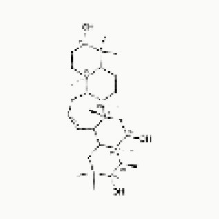 C[C@H]1[C@H](O)C(C)(C)CC2C3C=CCC4[C@@]5(C)CC[C@H](O)C(C)(C)C5CC[C@@]4(C)[C@]3(C)C[C@@H](O)[C@]21C